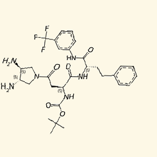 CC(C)(C)OC(=O)N[C@@H](CC(=O)N1C[C@H](N)[C@@H](N)C1)C(=O)N[C@@H](CCc1ccccc1)C(=O)Nc1cccc(C(F)(F)F)c1